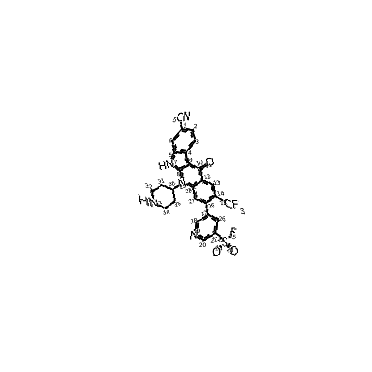 N#Cc1ccc2c(c1)[nH]c1c2c(=O)c2cc(C(F)(F)F)c(-c3cncc(S(=O)(=O)F)c3)cc2n1C1CCNCC1